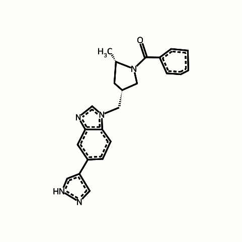 C[C@H]1C[C@@H](Cn2cnc3cc(-c4cn[nH]c4)ccc32)CN1C(=O)c1ccccc1